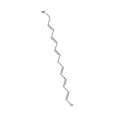 CCC=CC=CC=CCC=CC=CC=CCC#N